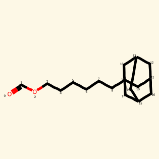 O=COCCCCCCC12CC3CC(CC(C3)C1)C2